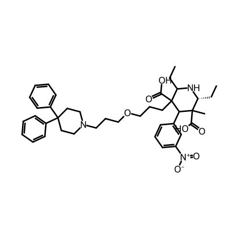 CCC1N[C@H](CC)C(C)(C(=O)O)C(c2cccc([N+](=O)[O-])c2)C1(CCCOCCCN1CCC(c2ccccc2)(c2ccccc2)CC1)C(=O)O